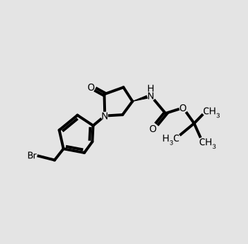 CC(C)(C)OC(=O)N[C@@H]1CC(=O)N(c2ccc(CBr)cc2)C1